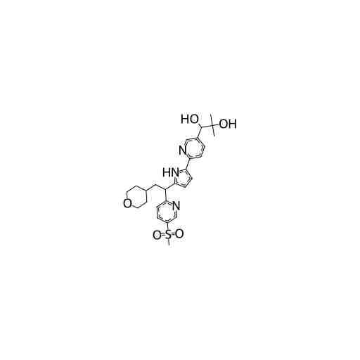 CC(C)(O)C(O)c1ccc(-c2ccc(C(CC3CCOCC3)c3ccc(S(C)(=O)=O)cn3)[nH]2)nc1